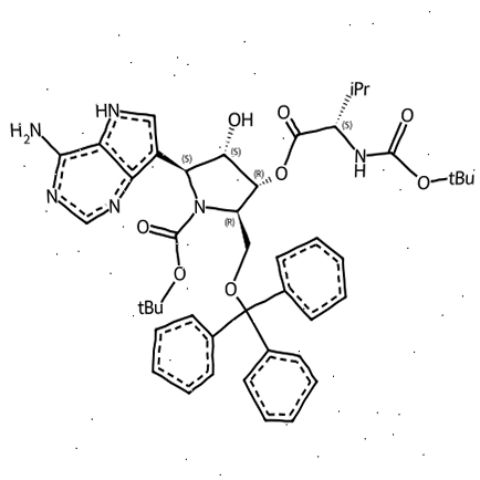 CC(C)[C@H](NC(=O)OC(C)(C)C)C(=O)O[C@H]1[C@@H](O)[C@H](c2c[nH]c3c(N)ncnc23)N(C(=O)OC(C)(C)C)[C@@H]1COC(c1ccccc1)(c1ccccc1)c1ccccc1